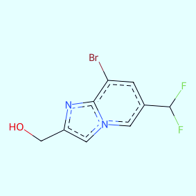 OCc1cn2cc(C(F)F)cc(Br)c2n1